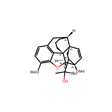 COc1ccc2c3c1O[C@H]1[C@@]4(OC)C=C[C@@]5(C[C@@H]4C(C)(O)C(C)(C)C)[C@H](CCC[C@]315)C2